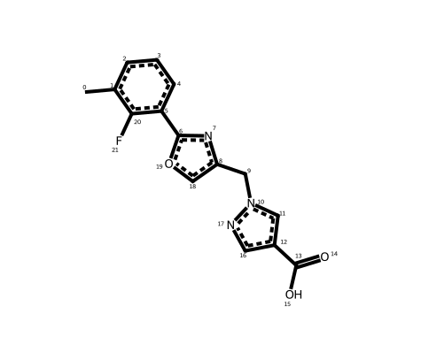 Cc1cccc(-c2nc(Cn3cc(C(=O)O)cn3)co2)c1F